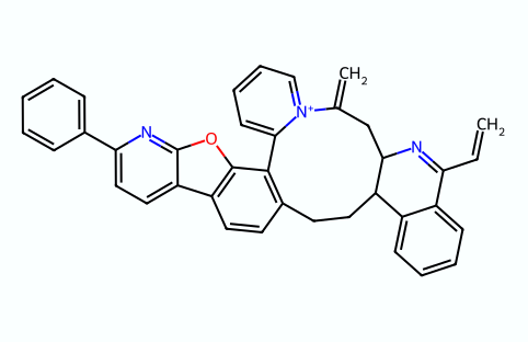 C=CC1=NC2CC(=C)[n+]3ccccc3-c3c(ccc4c3oc3nc(-c5ccccc5)ccc34)CCC2c2ccccc21